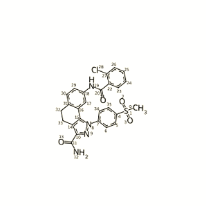 CS(=O)(=O)c1ccc(-n2nc(C(N)=O)c3c2-c2cc(NC(=O)c4ccccc4Cl)ccc2CC3)cc1